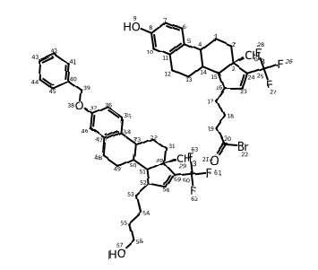 C[C@]12CCC3c4ccc(O)cc4CCC3C1C(CCCC(=O)Br)C=C2C(F)(F)F.C[C@]12CCC3c4ccc(OCc5ccccc5)cc4CCC3C1C(CCCCO)C=C2C(F)(F)F